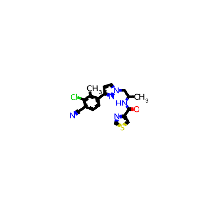 Cc1c(-c2ccn(CC(C)NC(=O)c3cscn3)n2)ccc(C#N)c1Cl